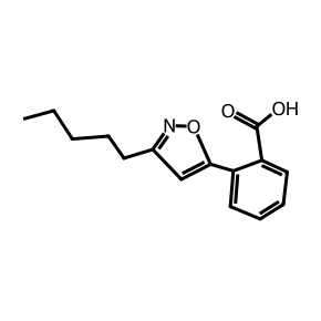 CCCCCc1cc(-c2ccccc2C(=O)O)on1